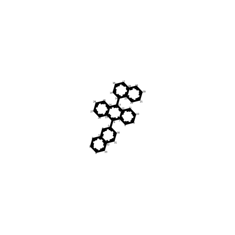 c1ccc2cc(-c3c4ccccc4c(-c4cccc5ccccc45)c4ccccc34)ccc2c1